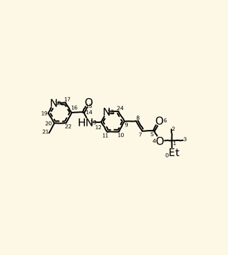 CCC(C)(C)OC(=O)/C=C/c1ccc(NC(=O)c2cncc(C)c2)nc1